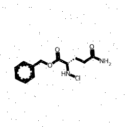 NC(=O)CC[C@H](NCl)C(=O)OCc1ccccc1